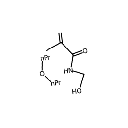 C=C(C)C(=O)NCO.CCCOCCC